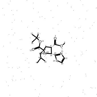 COC(=O)[C@H]1C[C@@](CC(C)C)(C(=O)OC(C)(C)C)N[C@H]1c1nccs1